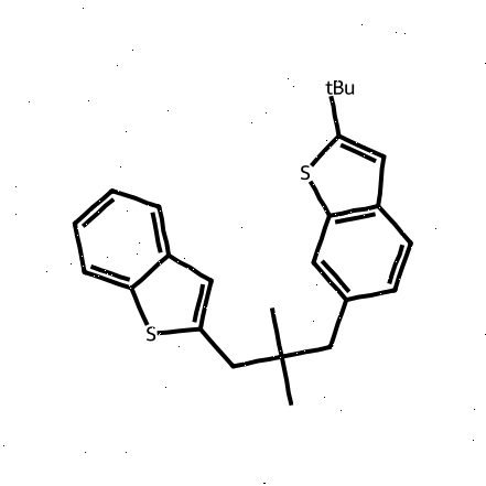 CC(C)(Cc1ccc2cc(C(C)(C)C)sc2c1)Cc1cc2ccccc2s1